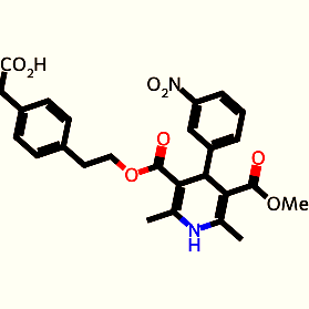 COC(=O)C1=C(C)NC(C)=C(C(=O)OCCc2ccc(CC(=O)O)cc2)C1c1cccc([N+](=O)[O-])c1